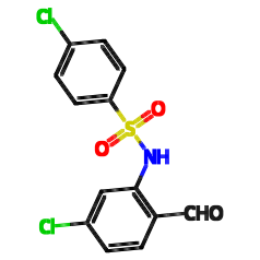 O=Cc1ccc(Cl)cc1NS(=O)(=O)c1ccc(Cl)cc1